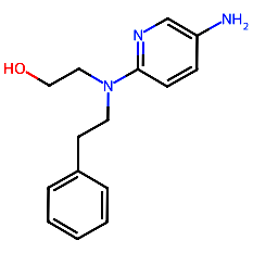 Nc1ccc(N(CCO)CCc2ccccc2)nc1